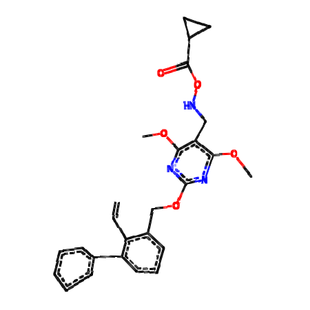 C=Cc1c(COc2nc(OC)c(CNOC(=O)C3CC3)c(OC)n2)cccc1-c1ccccc1